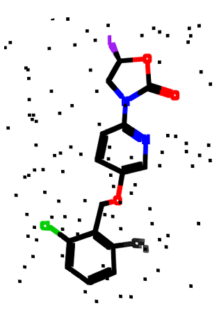 O=C1O[C@H](I)CN1c1ccc(OCc2c(Cl)cccc2C(F)(F)F)cn1